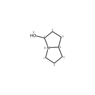 OC1CCC2CCCN12